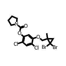 CC1(COc2cc(OC(=O)N3CCCC3)c(Cl)cc2Cl)CC1(Br)Br